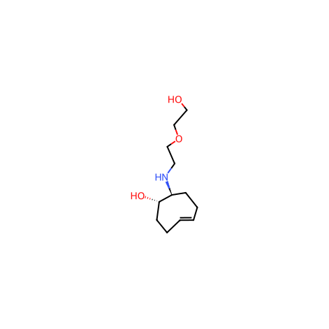 OCCOCCN[C@H]1CC/C=C/CC[C@@H]1O